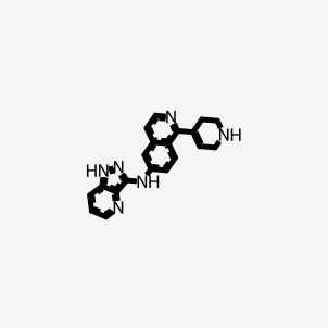 C1=C(c2nccc3cc(Nc4n[nH]c5cccnc45)ccc23)CCNC1